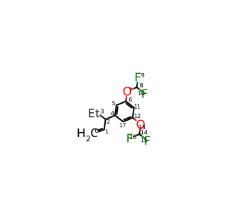 C=CC(CC)c1cc(OC(F)F)cc(OC(F)F)c1